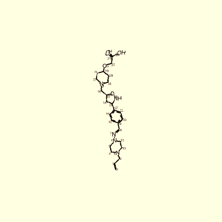 CCCN1CCN(N=Cc2ccc(C3CC(CN4CCC(OCC(=O)O)CC4)ON3)cc2)CC1